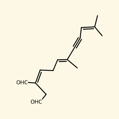 CC(C)=CC#C/C(C)=C/C/C=C(/C=O)CC=O